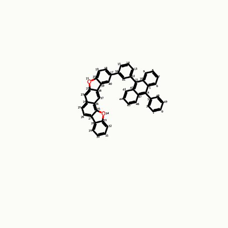 c1ccc(-c2c3ccccc3c(-c3cccc(-c4ccc5oc6cc7ccc8c9ccccc9oc8c7cc6c5c4)c3)c3ccccc23)cc1